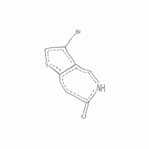 O=c1cc2scc(Br)c2c[nH]1